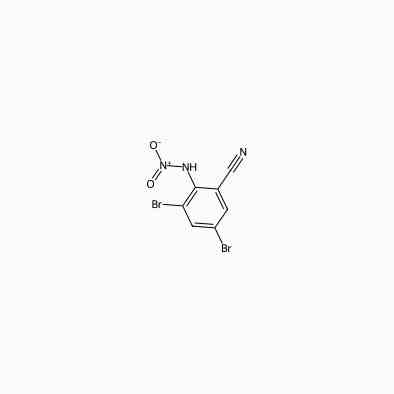 N#Cc1cc(Br)cc(Br)c1N[N+](=O)[O-]